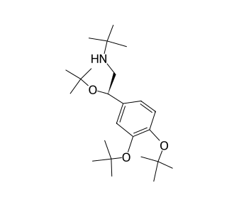 CC(C)(C)NC[C@H](OC(C)(C)C)c1ccc(OC(C)(C)C)c(OC(C)(C)C)c1